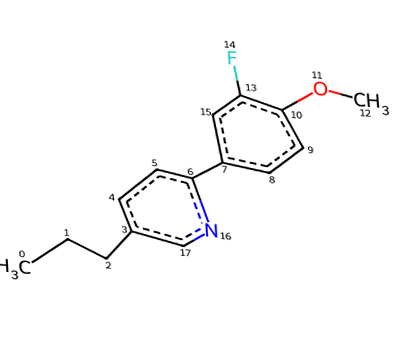 CCCc1ccc(-c2ccc(OC)c(F)c2)nc1